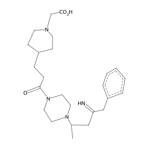 CC(CC(=N)Cc1ccccc1)N1CCN(C(=O)CCC2CCN(CC(=O)O)CC2)CC1